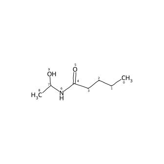 CCCCC(=O)NC(C)O